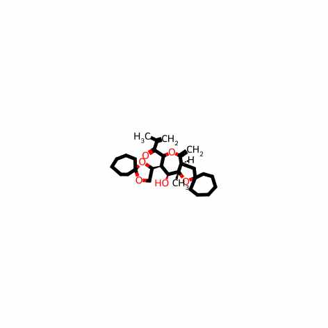 C=C(C)C(=O)C1OC(=C)[C@H]2CC3(CCCCCC3)O[C@]2(C)[C@@H](O)[C@H]1C1COC2(CCCCCC2)O1